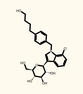 OCCCCc1ccc(Cn2cc([C@@H]3O[C@H](CO)[C@@H](O)[C@H](O)[C@H]3O)c3cccc(Cl)c32)cc1